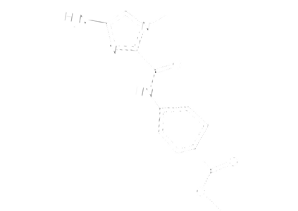 COC(=O)c1ccc(NC(=O)c2nc(N)cn2C)cc1